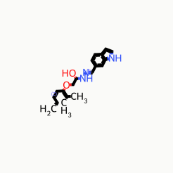 C=C/C=C\C(OCC(O)N/N=C/c1ccc2cc[nH]c2c1)=C(C)C